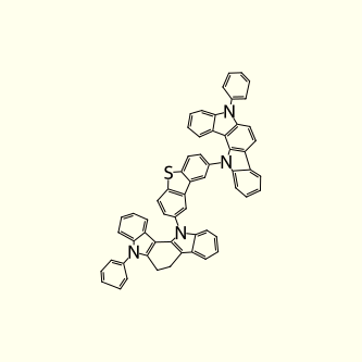 c1ccc(-n2c3c(c4ccccc42)-c2c(c4ccccc4n2-c2ccc4sc5ccc(-n6c7ccccc7c7ccc8c(c9ccccc9n8-c8ccccc8)c76)cc5c4c2)CC3)cc1